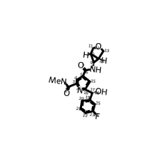 CNC(=O)c1cc(C(=O)N[C@H]2[C@@H]3COC[C@@H]32)cc([C@H](O)c2cccc(F)c2)n1